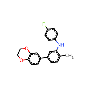 Cc1ccc(-c2ccc3c(c2)OCCO3)cc1Nc1ccc(F)cc1